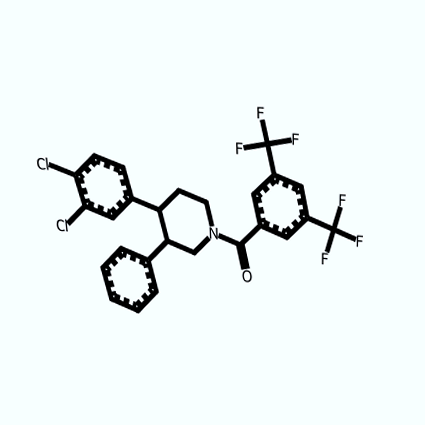 O=C(c1cc(C(F)(F)F)cc(C(F)(F)F)c1)N1CCC(c2ccc(Cl)c(Cl)c2)C(c2ccccc2)C1